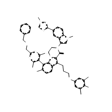 Cc1cc(OCCCc2c3n(c4c(-c5c(C)nc(COCc6ccccc6)nc5C)c(Cl)ccc24)[C@H](C)CN(c2cn(C)c4ccc(-c5ncn(C)n5)cc24)C3=O)cc(C)c1Cl